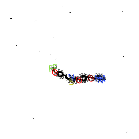 FC(F)Oc1ccc(C=Cc2nc(COc3ccc(COCCn4ccnn4)cc3)cs2)cc1